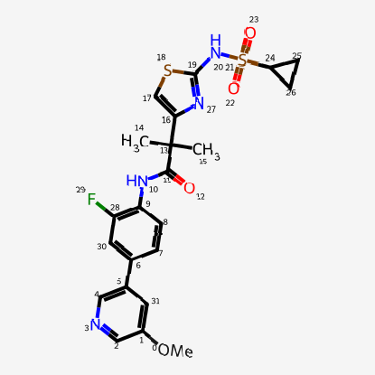 COc1cncc(-c2ccc(NC(=O)C(C)(C)c3csc(NS(=O)(=O)C4CC4)n3)c(F)c2)c1